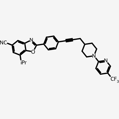 CC(C)c1cc(C#N)cc2nc(-c3ccc(C#CCC4CCN(c5ccc(C(F)(F)F)cn5)CC4)cc3)oc12